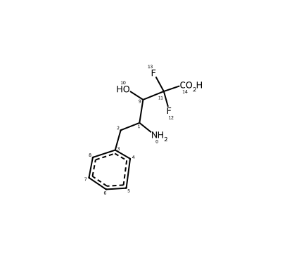 NC(Cc1ccccc1)C(O)C(F)(F)C(=O)O